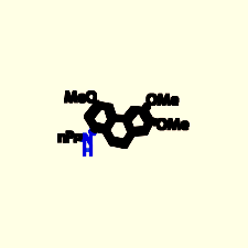 CCCNc1cc(OC)cc2c1ccc1cc(OC)c(OC)cc12